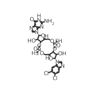 Nc1nc2c(ncn2[C@@H]2O[C@@H]3COP(=O)(S)OC4C(O)[C@H](n5cnc6cc(Cl)c(Cl)cc65)O[C@@H]4COP(=O)(S)OC3C2O)c(=O)[nH]1